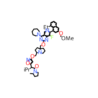 CCc1cccc2cc(OCOC)cc(-c3ncc4c(N5CCCCCC5)nc(OCC56CCCN5C(COc5cc(C(C(=O)N7CCCC7C)C(C)C)on5)CC6)nc4c3F)c12